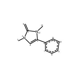 C=C1N(C)C=C(c2ccccc2)N1C